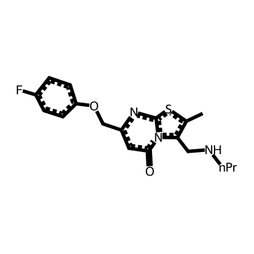 CCCNCc1c(C)sc2nc(COc3ccc(F)cc3)cc(=O)n12